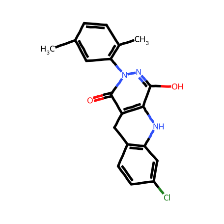 Cc1ccc(C)c(-n2nc(O)c3c(c2=O)Cc2ccc(Cl)cc2N3)c1